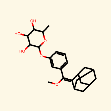 COC(=C1C2CC3CC(C2)CC1C3)c1cccc(OC2OC(C)C(O)C(O)C2O)c1